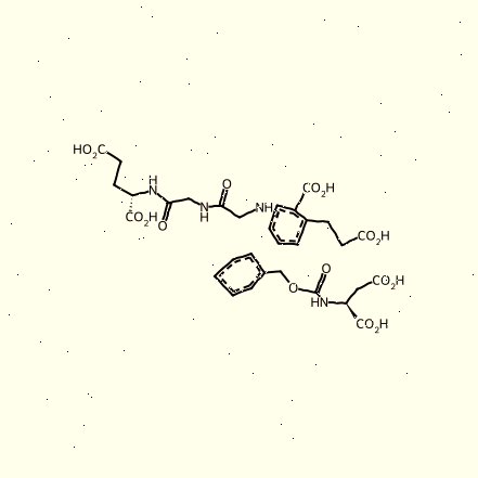 NCC(=O)NCC(=O)N[C@@H](CCC(=O)O)C(=O)O.O=C(O)CCc1ccccc1C(=O)O.O=C(O)C[C@H](NC(=O)OCc1ccccc1)C(=O)O